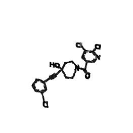 O=C(c1cnc(Cl)c(Cl)c1)N1CCC(O)(C#Cc2cccc(Cl)c2)CC1